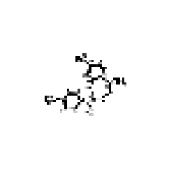 Cc1ccc([S+]([O-])N2CCC(N)c3ccc(Br)cc3C2)cc1